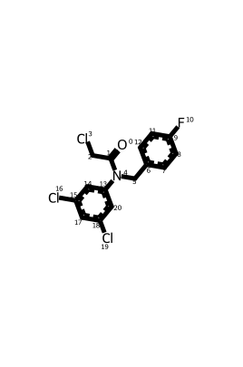 O=C(CCl)N(Cc1ccc(F)cc1)c1cc(Cl)cc(Cl)c1